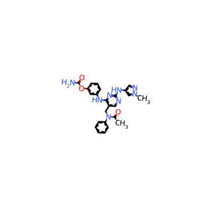 CC(=O)N(Cc1cnc(Nc2cnn(C)c2)nc1Nc1cccc(OC(N)=O)c1)c1ccccc1